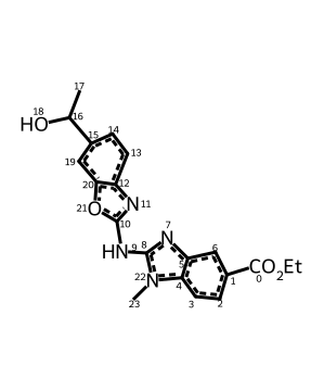 CCOC(=O)c1ccc2c(c1)nc(Nc1nc3ccc(C(C)O)cc3o1)n2C